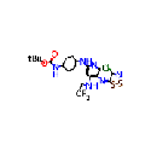 CC(C)(C)OC(=O)NC1CCC(Nc2cc(NCC(F)(F)F)c(/N=c3/ssnc3Cl)cn2)CC1